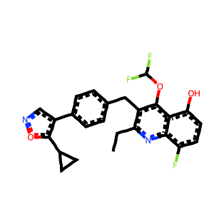 CCc1nc2c(F)ccc(O)c2c(OC(F)F)c1Cc1ccc(-c2cnoc2C2CC2)cc1